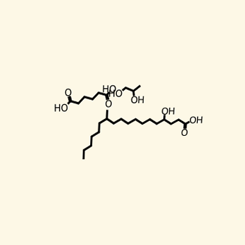 CC(O)CO.CCCCCCC(C)CCCCCCCC(O)CCC(=O)O.O=C(O)CCCCC(=O)O